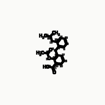 CC(=O)Oc1c(Cc2ccccc2CC(C)C)cccc1C(=O)O